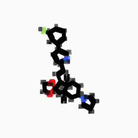 Fc1cccc(-c2ccc(/C=C/[C@H]3[C@@H]4CC[C@@H](n5cccc5)C[C@@H]4CC34OCCO4)nc2)c1